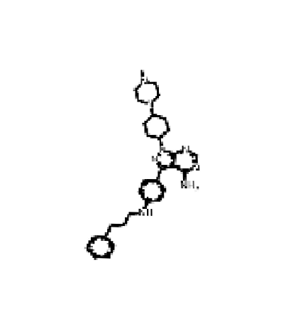 CN1CCN(C2CCC(n3nc(-c4ccc(NCCCc5ccccc5)cc4)c4c(N)ncnc43)CC2)CC1